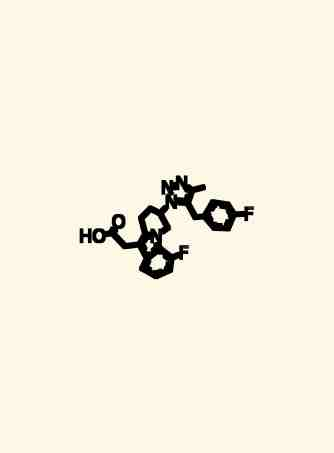 Cc1nnn(C2CCc3c(CC(=O)O)c4cccc(F)c4n3C2)c1Cc1ccc(F)cc1